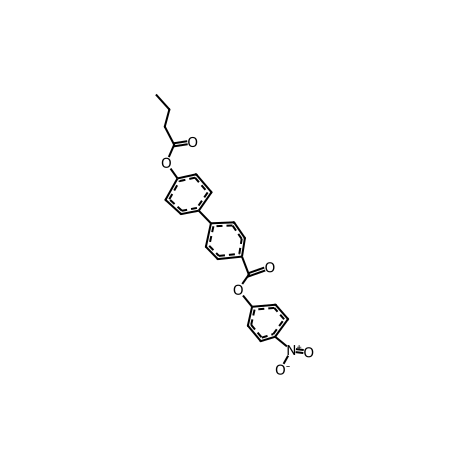 CCCC(=O)Oc1ccc(-c2ccc(C(=O)Oc3ccc([N+](=O)[O-])cc3)cc2)cc1